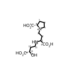 O=C(O)C(CCN1CCC[C@H]1C(=O)O)NCC[C@H](O)C(=O)O